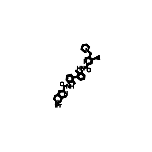 Cc1c(NC(=O)c2cc3c(cn2)CN(C(C)C)CC3)cccc1-c1cccc(NC(=O)c2cc(C3CC3)c(CN3CCCCC3)cn2)c1C